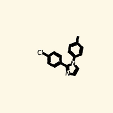 Cc1ccc(-n2ccnc2-c2ccc(Cl)cc2)cc1